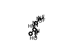 OCCn1cnc2cc(Nc3ncc(-c4nnc(C(F)F)o4)cn3)cc(-c3ccccc3)c21